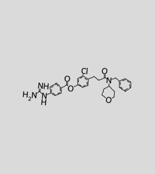 N=C(N)Nc1ccc(C(=O)Oc2ccc(CCC(=O)N(Cc3ccccc3)C3CCOCC3)c(Cl)c2)cc1